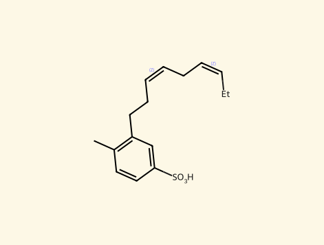 CC/C=C\C/C=C\CCc1cc(S(=O)(=O)O)ccc1C